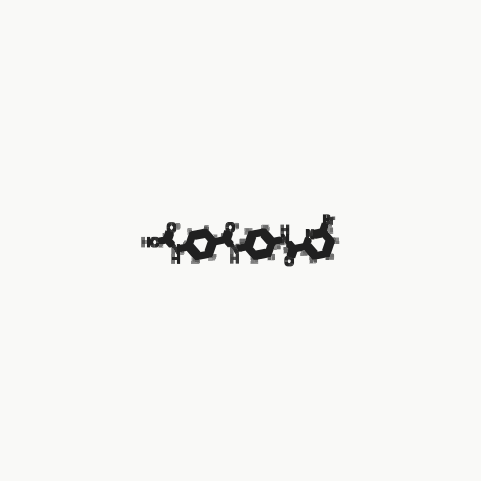 O=C(O)Nc1ccc(C(=O)Nc2ccc(NC(=O)c3cccc(Br)n3)cc2)cc1